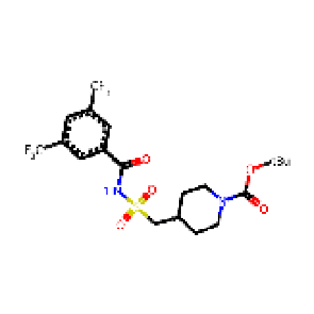 CC(C)(C)OC(=O)N1CCC(CS(=O)(=O)NC(=O)c2cc(C(F)(F)F)cc(C(F)(F)F)c2)CC1